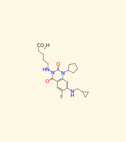 O=C(O)CCCCNn1c(=O)c2cc(F)c(NCC3CC3)cc2n(C2CCCC2)c1=O